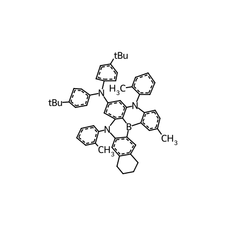 Cc1ccc2c(c1)B1c3cc4c(cc3N(c3ccccc3C)c3cc(N(c5ccc(C(C)(C)C)cc5)c5ccc(C(C)(C)C)cc5)cc(c31)N2c1ccccc1C)CCCC4